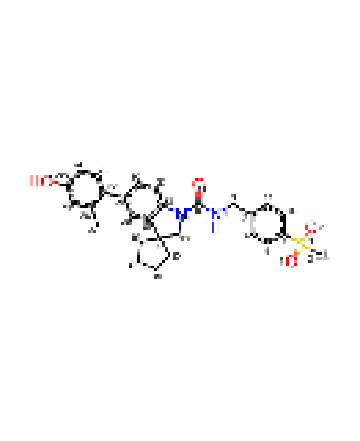 CCS(=O)(=O)c1ccc(CNC(=O)N2CC3(CCCC3)c3cc(-c4ccc(O)cc4C)ccc32)cc1